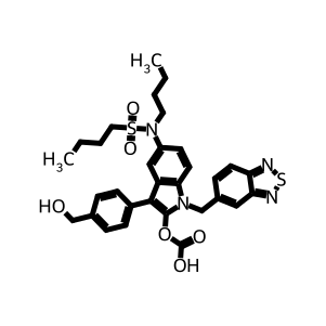 CCCCN(c1ccc2c(c1)c(-c1ccc(CO)cc1)c(OC(=O)O)n2Cc1ccc2nsnc2c1)S(=O)(=O)CCCC